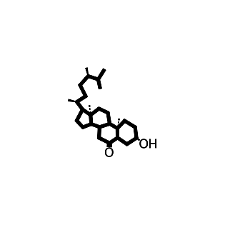 CC(C)[C@H](C)CC[C@H](C)C1CCC2C3CC(=O)C4C[C@@H](O)CC[C@]4(C)C3CC[C@@]21C